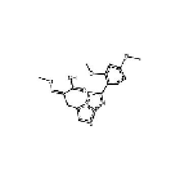 CO/C=C(/Cc1csc2nc(-c3ccc(OC)cc3OC)cn12)C(=O)O